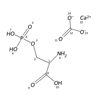 NC(COP(=O)(O)O)C(=O)O.O=C([O-])[O-].[Ca+2]